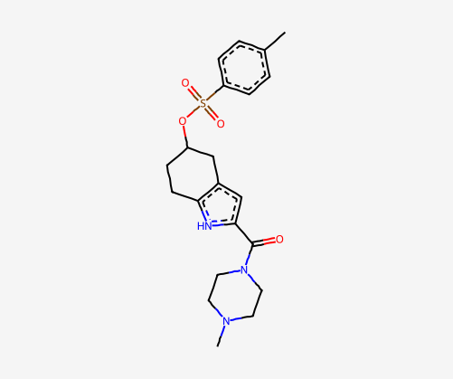 Cc1ccc(S(=O)(=O)OC2CCc3[nH]c(C(=O)N4CCN(C)CC4)cc3C2)cc1